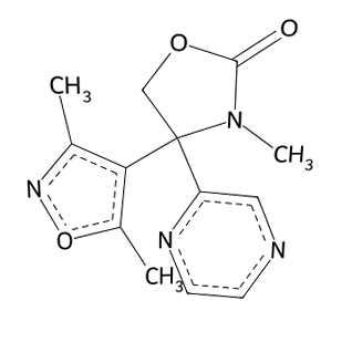 Cc1noc(C)c1C1(c2cnccn2)COC(=O)N1C